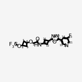 O=C(COC1CC(OC(F)(F)F)C1)NC12CC(c3nnc(-c4cncc(F)c4)o3)(C1)C2